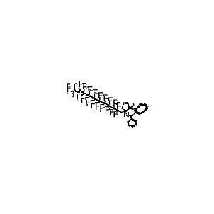 CC12CCCC1(CC(F)(F)C(F)(F)C(F)(F)C(F)(F)C(F)(F)C(F)(F)C(F)(F)C(F)(F)C(F)(F)C(F)(F)F)N=C(c1ccccc1)c1ccccc12